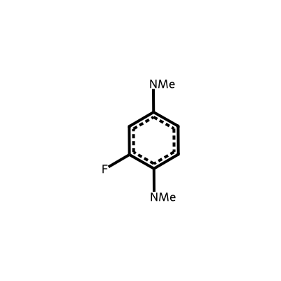 CNc1ccc(NC)c(F)c1